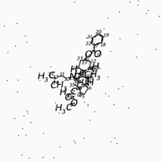 COC(=O)[C@H]1CC[C@H]2[C@@H]3CC[C@H]4C[C@H](OC(=O)c5ccccc5)CC[C@]4(C)[C@H]3[C@H](NCCC(C)C)C[C@]12C